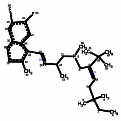 CCC(C)(C)C/C=C(\CP(C)CC(C)/N=C/c1c(C)ccc2cc(F)c(F)cc12)C(C)(C)C